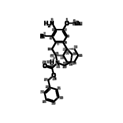 CCCCOc1cc2c(c(Br)c1N)C[C@H]1C3CCCC[C@@]23CCCN1C(=O)OCc1ccccc1